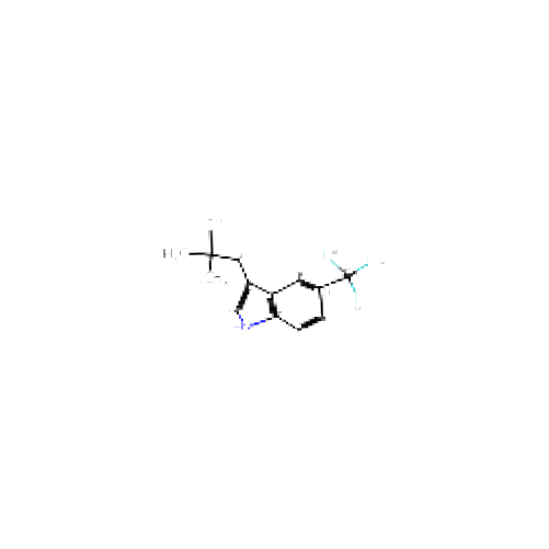 CC(C)(C)Cc1c[nH]c2ccc(C(F)(F)F)cc12